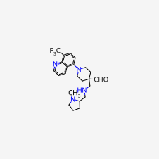 CN1CCCC1CNCC1(C=O)CCN(c2ccc(C(F)(F)F)c3ncccc23)CC1